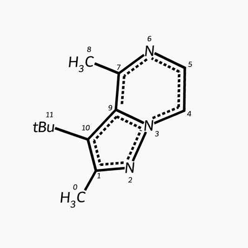 Cc1nn2ccnc(C)c2c1C(C)(C)C